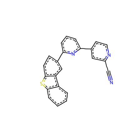 N#Cc1cc(-c2cccc(-c3ccc4sc5ccccc5c4c3)n2)ccn1